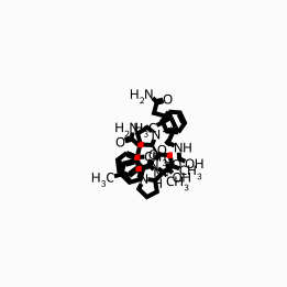 Cc1ccc(N2[C@@H](C3CCCN3[C@@]3(C(=O)NC(=O)O)c4ccc(cc4)C3(C)CC(N)=O)CC(C)[C@]2(C)C2CCCN2[C@@]2(C(=O)NC(=O)O)c3ccc(cc3)C2(C)CC(N)=O)cc1